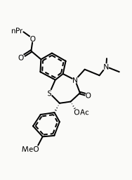 CCCOC(=O)c1ccc2c(c1)S[C@@H](c1ccc(OC)cc1)[C@@H](OC(C)=O)C(=O)N2CCN(C)C